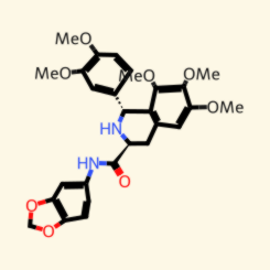 COc1ccc([C@H]2N[C@H](C(=O)Nc3ccc4c(c3)OCO4)Cc3cc(OC)c(OC)c(OC)c32)cc1OC